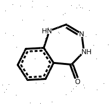 O=C1NN=CNc2ccccc21